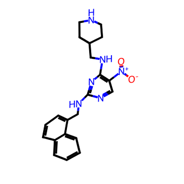 O=[N+]([O-])c1cnc(NCc2cccc3ccccc23)nc1NCC1CCNCC1